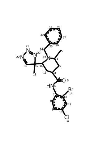 CC1CC(C(=O)Nc2ccc(Cl)cc2Br)CC(C2(C)C=NN=N2)N1Cc1ccccc1